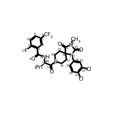 CC(C)[C@@H](NC(=O)c1cc(C(F)(F)F)ccc1F)C(=O)N1CCC2(CC1)C(=O)N(C)C(=O)N2c1ccc(Cl)c(Cl)c1